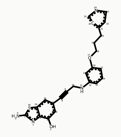 Nc1nc2c(O)cc(C#CCNc3cccc(OCCCc4ccncc4)c3)cc2s1